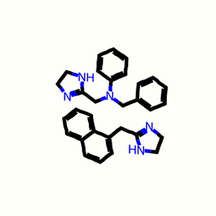 c1ccc(CN(CC2=NCCN2)c2ccccc2)cc1.c1ccc2c(CC3=NCCN3)cccc2c1